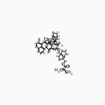 C#Cc1c(F)ccc2cccc(-c3nc(OCC)c4c(N5CC6CCC(C5)N6C(=O)C(F)(F)F)nc(OC[C@]56CCCN5[C@@H](COC(=O)N(C)C)CC6)nc4c3F)c12